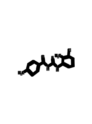 Cc1ccc(C(=O)NC(=S)Nc2cccc(Cl)c2C)cc1